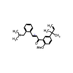 C=CC(C)(C)c1ccc(OC)c(C(=O)/C=C/c2ccccc2CN(C)C)c1